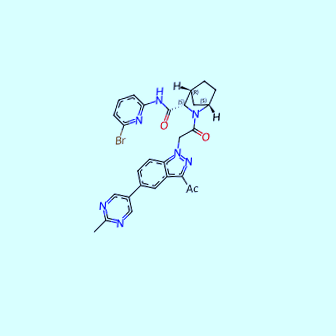 CC(=O)c1nn(CC(=O)N2[C@H]3CC[C@H](C3)[C@H]2C(=O)Nc2cccc(Br)n2)c2ccc(-c3cnc(C)nc3)cc12